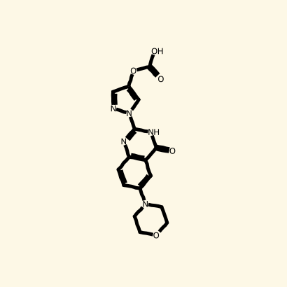 O=C(O)Oc1cnn(-c2nc3ccc(N4CCOCC4)cc3c(=O)[nH]2)c1